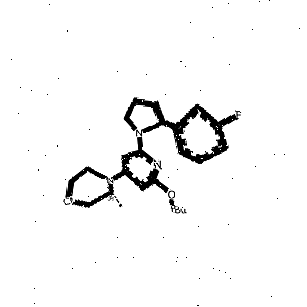 C[C@@H]1COCCN1c1cc(OC(C)(C)C)nc(N2CCCC2c2cccc(F)c2)c1